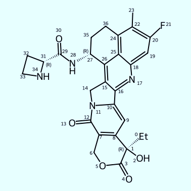 CC[C@]1(O)C(=O)OCc2c1cc1n(c2=O)Cc2c-1nc1cc(F)c(C)c3c1c2[C@H](NC(=O)[C@H]1CCN1)CC3